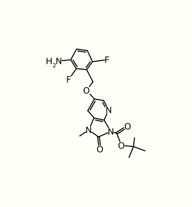 Cn1c(=O)n(C(=O)OC(C)(C)C)c2ncc(OCc3c(F)ccc(N)c3F)cc21